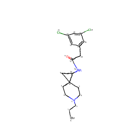 CC(C)(C)CCN1CCC2(CC1)CC2NC(=O)Cc1cc(Cl)cc(Cl)c1